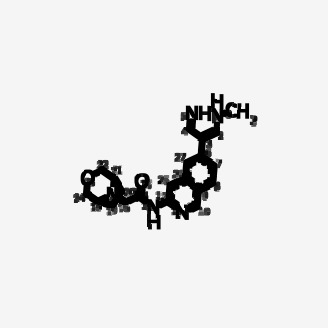 CN/C=C(\C=N)c1ccc2cnc(NC(=O)CN3C4CCC3COC4)cc2c1